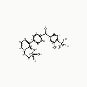 Cc1cc(C(=O)c2ccc(C3=CC=CN4CCS(=O)(=O)N=C34)cc2)ccc1C(F)(F)F